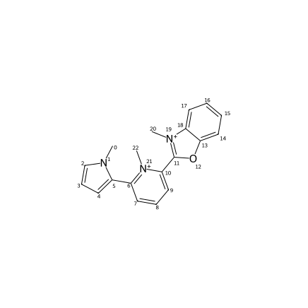 Cn1cccc1-c1cccc(-c2oc3ccccc3[n+]2C)[n+]1C